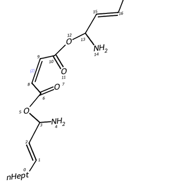 CCCCCCCC=CC(N)OC(=O)/C=C\C(=O)OC(N)C=CCCCCCCC